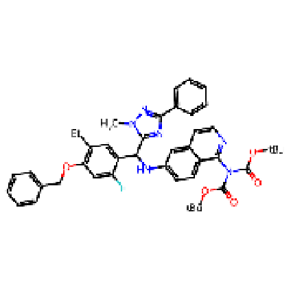 CCc1cc(C(Nc2ccc3c(N(C(=O)OC(C)(C)C)C(=O)OC(C)(C)C)nccc3c2)c2nc(-c3ccccc3)nn2C)c(F)cc1OCc1ccccc1